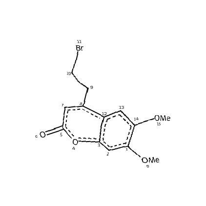 COc1cc2oc(=O)cc(CCBr)c2cc1OC